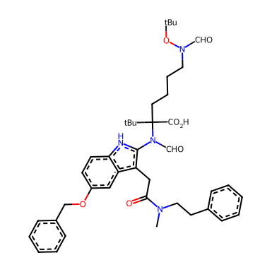 CN(CCc1ccccc1)C(=O)Cc1c(N(C=O)C(CCCCN(C=O)OC(C)(C)C)(C(=O)O)C(C)(C)C)[nH]c2ccc(OCc3ccccc3)cc12